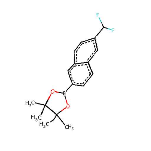 CC1(C)OB(c2ccc3cc(C(F)F)ccc3c2)OC1(C)C